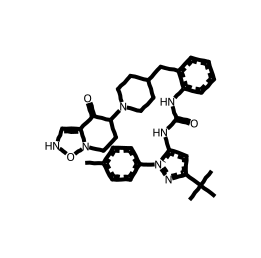 Cc1ccc(-n2nc(C(C)(C)C)cc2NC(=O)Nc2ccccc2CC2CCN(C3CCN4ONC=C4C3=O)CC2)cc1